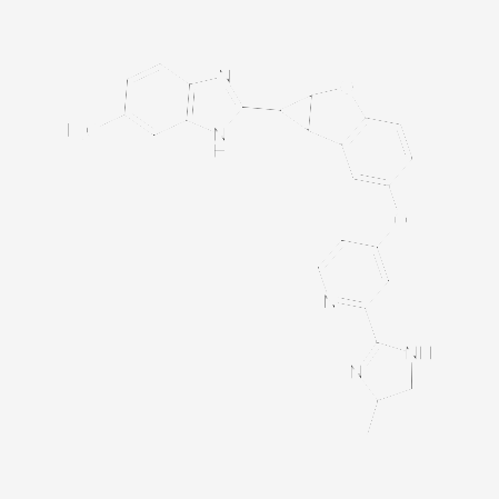 CC1CNC(c2cc(Oc3ccc4c(c3)C3C(O4)C3c3nc4ccc(C(F)(F)F)cc4[nH]3)ccn2)=N1